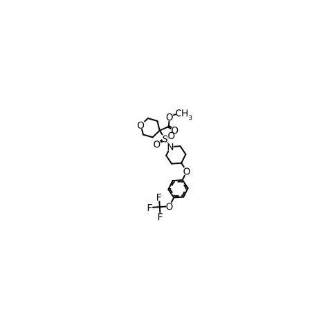 COC(=O)C1(S(=O)(=O)N2CCC(Oc3ccc(OC(F)(F)F)cc3)CC2)CCOCC1